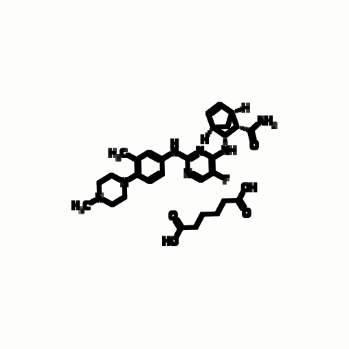 Cc1cc(Nc2ncc(F)c(N[C@H]3[C@@H](C(N)=O)[C@@H]4C=C[C@H]3C4)n2)ccc1N1CCN(C)CC1.O=C(O)CCCCC(=O)O